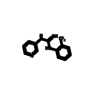 N=C(Nc1cccnc1)Nc1ccccc1C(F)(F)F